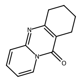 O=c1c2c(nc3ccccn13)CCCC2